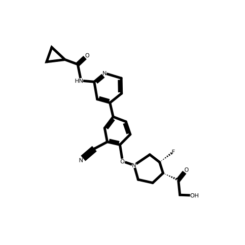 N#Cc1cc(-c2ccnc(NC(=O)C3CC3)c2)ccc1ON1CC[C@@H](C(=O)CO)[C@@H](F)C1